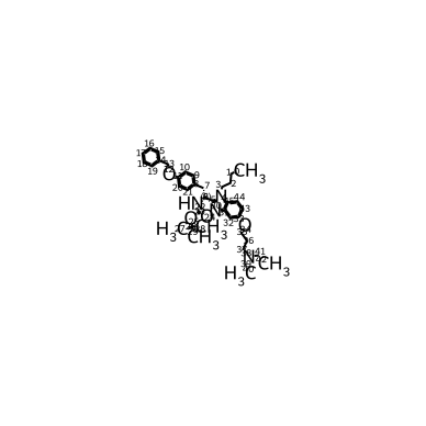 CCCCn1c([C@@H](Cc2ccc(OCc3ccccc3)cc2)NC(=O)OC(C)(C)C)nc2cc(OCCCN(CC)CC)ccc21